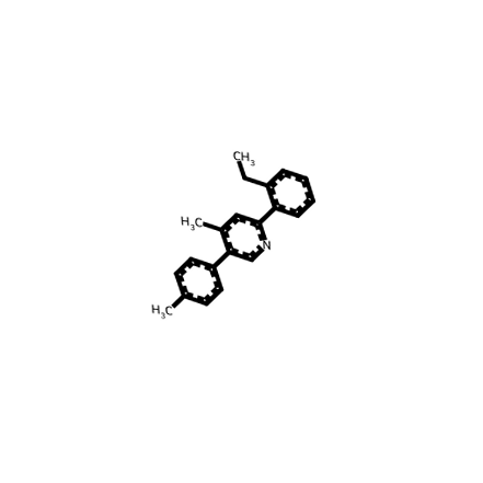 CCc1ccccc1-c1cc(C)c(-c2ccc(C)cc2)cn1